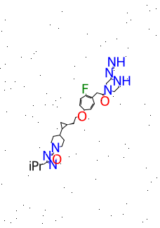 CC(C)c1noc(N2CCC(C3C[C@H]3CCOC3C=CC(F)=C(CC(=O)N4CCN/C(=N\C=N)C4)C=C3)CC2)n1